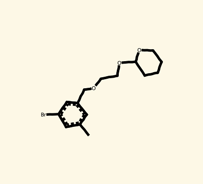 Cc1cc(Br)cc(COCCOC2CCCCO2)c1